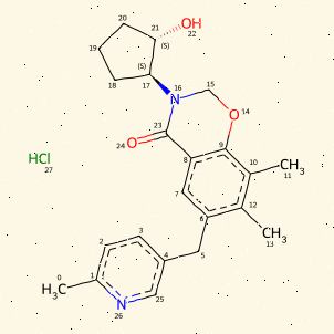 Cc1ccc(Cc2cc3c(c(C)c2C)OCN([C@H]2CCC[C@@H]2O)C3=O)cn1.Cl